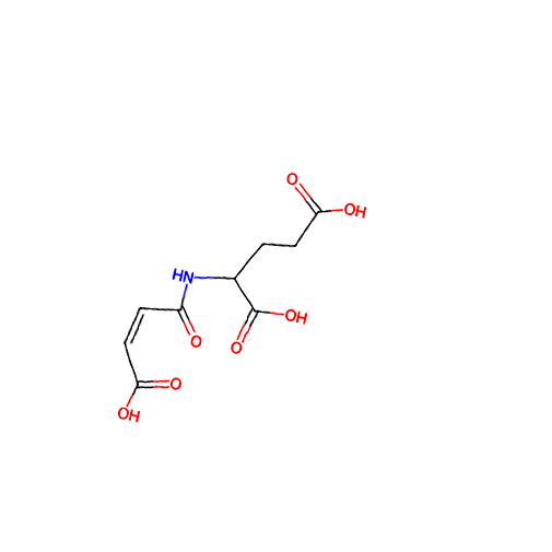 O=C(O)/C=C\C(=O)NC(CCC(=O)O)C(=O)O